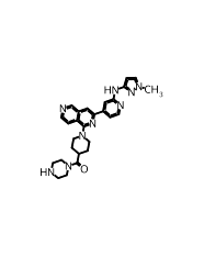 Cn1ccc(Nc2cc(-c3cc4cnccc4c(N4CCC(C(=O)N5CCNCC5)CC4)n3)ccn2)n1